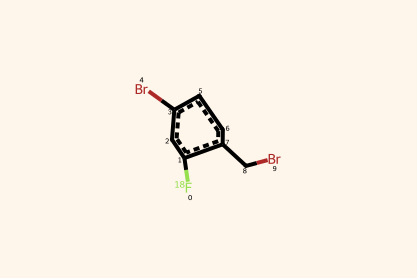 [18F]c1cc(Br)ccc1CBr